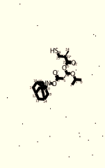 CC(C)O[C@H](CC(=O)ONC12CC3CC(CC(C3)C1)C2)OC(=O)[C@H](C)CS